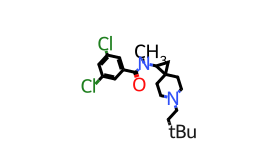 CN(C(=O)c1cc(Cl)cc(Cl)c1)C1CC12CCN(CCC(C)(C)C)CC2